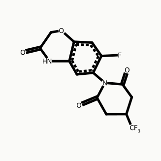 O=C1COc2cc(F)c(N3C(=O)CC(C(F)(F)F)CC3=O)cc2N1